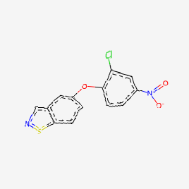 O=[N+]([O-])c1ccc(Oc2ccc3sncc3c2)c(Cl)c1